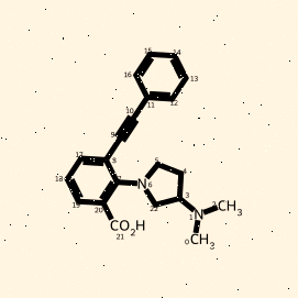 CN(C)C1CCN(c2c(C#Cc3ccccc3)cccc2C(=O)O)C1